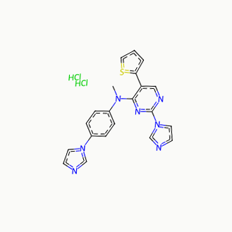 CN(c1ccc(-n2ccnc2)cc1)c1nc(-n2ccnc2)ncc1-c1cccs1.Cl.Cl